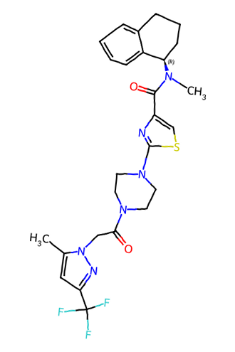 Cc1cc(C(F)(F)F)nn1CC(=O)N1CCN(c2nc(C(=O)N(C)[C@@H]3CCCc4ccccc43)cs2)CC1